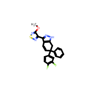 COc1nsnc1-c1n[nH]c2c1C=CC(c1ccccc1)(c1ccc(F)c(F)c1)C2